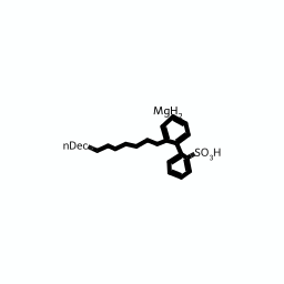 CCCCCCCCCCCCCCCCCc1ccccc1-c1ccccc1S(=O)(=O)O.[MgH2]